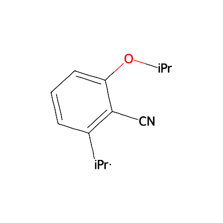 C[C](C)c1cccc(OC(C)C)c1C#N